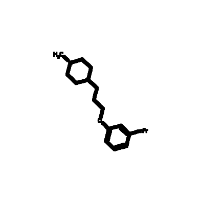 CCCc1cccc(OCCCC2CCN(C)CC2)c1